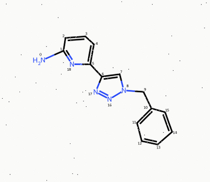 Nc1cccc(-c2cn(Cc3ccccc3)nn2)n1